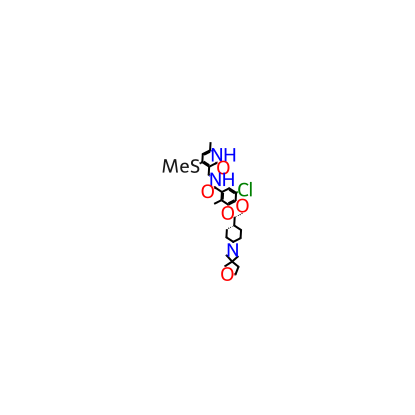 CSc1cc(C)[nH]c(=O)c1CNC(=O)c1cc(Cl)c2c(c1C)O[C@@H]([C@H]1CC[C@@H](N3CC4(CCOC4)C3)CC1)CO2